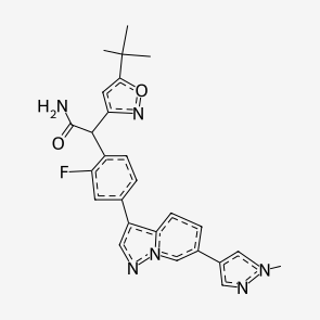 Cn1cc(-c2ccc3c(-c4ccc(C(C(N)=O)c5cc(C(C)(C)C)on5)c(F)c4)cnn3c2)cn1